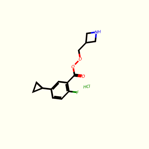 Cl.O=C(OOCC1CNC1)c1cc(C2CC2)ccc1F